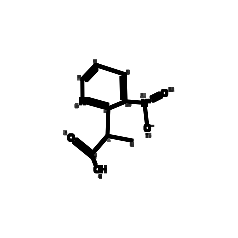 CC(C(=O)O)c1ncccc1[N+](=O)[O-]